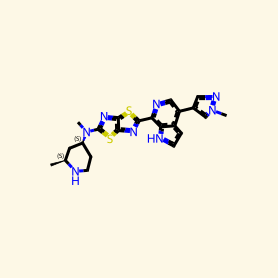 C[C@H]1C[C@@H](N(C)c2nc3sc(-c4ncc(-c5cnn(C)c5)c5cc[nH]c45)nc3s2)CCN1